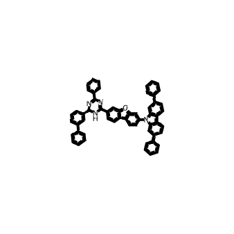 c1ccc(C2=NC(c3cccc(-c4ccccc4)c3)NC(c3ccc4c(c3)oc3cc(-n5c6cc(-c7ccccc7)ccc6c6ccc(-c7ccccc7)cc65)ccc34)=N2)cc1